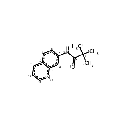 CC(C)(C)C(=O)Nc1ccc2cccnc2c1